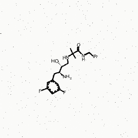 CC(C)CNC(=O)C(C)(C)NC[C@@H](O)[C@@H](N)Cc1cc(F)cc(F)c1